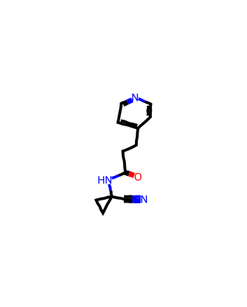 N#CC1(NC(=O)CCc2ccncc2)CC1